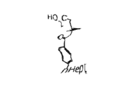 CCCCCCCc1ccc(C(=O)CC(C)(C)CC(=O)O)cc1